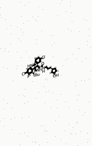 CC(C)(C)C[C@H]1N[C@@H](C(=O)NCCC[C@H]2CC[C@H](O)C2)[C@H](c2cccc(Cl)c2)[C@@]12C(=O)Nc1cc(Cl)c(F)cc12